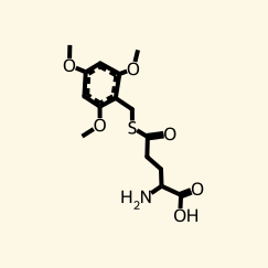 COc1cc(OC)c(CSC(=O)CCC(N)C(=O)O)c(OC)c1